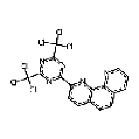 ClC(Cl)(Cl)c1nc(-c2ccc3ccc4cccnc4c3n2)nc(C(Cl)(Cl)Cl)n1